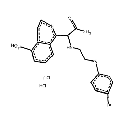 Cl.Cl.NC(=O)C(NCCSc1ccc(Br)cc1)c1nccc2c(S(=O)(=O)O)cccc12